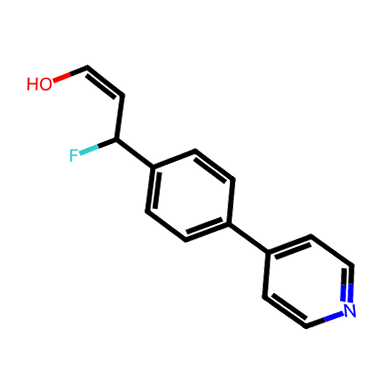 O/C=C\C(F)c1ccc(-c2ccncc2)cc1